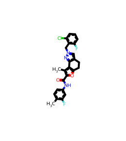 Cc1ccc(NC(=O)c2oc3c(c2C)-c2nn(Cc4c(F)cccc4Cl)cc2CC3)cc1F